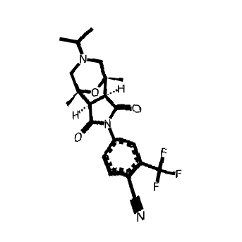 CC(C)N1C[C@@]2(C)O[C@@](C)(C1)[C@@H]1C(=O)N(c3ccc(C#N)c(C(F)(F)F)c3)C(=O)[C@@H]12